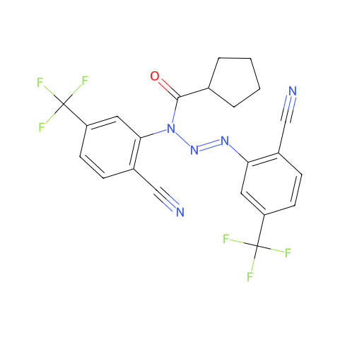 N#Cc1ccc(C(F)(F)F)cc1N=NN(C(=O)C1CCCC1)c1cc(C(F)(F)F)ccc1C#N